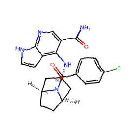 NC(=O)c1cnc2[nH]ccc2c1N[C@@H]1C[C@H]2CC[C@@H](C1)N2C(=O)c1ccc(F)cc1